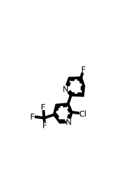 Fc1ccc(-c2cc(C(F)(F)F)cnc2Cl)nc1